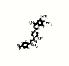 COc1cc2c(N)nc(N3CCN(C(=O)CC(N)c4ccc(C(F)F)cc4)CC3)nc2c(F)c1OC.Cl